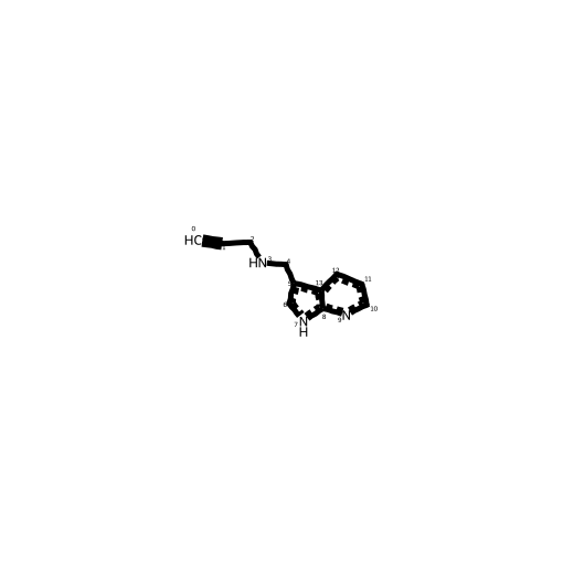 C#CCNCc1c[nH]c2ncccc12